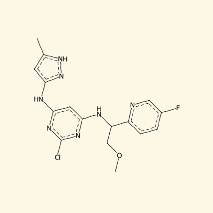 COCC(Nc1cc(Nc2cc(C)[nH]n2)nc(Cl)n1)c1ccc(F)cn1